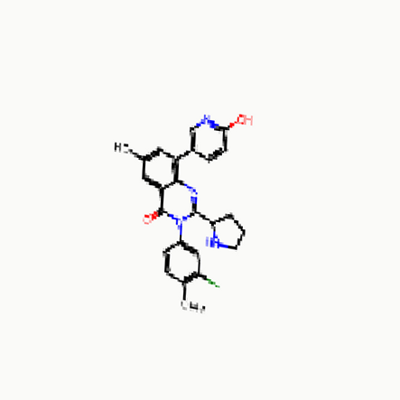 COc1ccc(-n2c(C3CCCN3)nc3c(-c4ccc(O)nc4)cc(C#N)cc3c2=O)cc1F